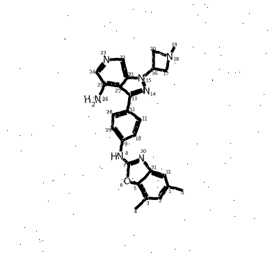 Cc1cc(C)c2oc(Nc3ccc(-c4nn(C5CN(C)C5)c5cncc(N)c45)cc3)nc2c1